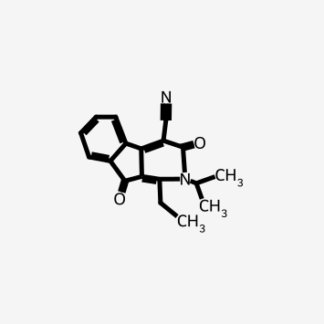 CCc1c2c(c(C#N)c(=O)n1C(C)C)-c1ccccc1C2=O